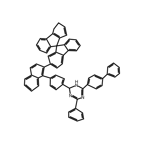 C1=CC2=C(CC1)c1ccccc1C21c2ccccc2-c2ccc(-c3ccc4ccccc4c3-c3ccc(C4N=C(c5ccccc5)N=C(c5ccc(-c6ccccc6)cc5)N4)cc3)cc21